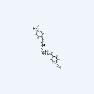 CNc1ccc(/C=N/NCC(=N)N/N=C/c2ccc(C#N)cc2)cc1